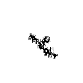 Cc1cc(-c2cnc3c(NCC4CC(F)(F)C4)nc(C4=CCOCC4)cn23)ccc1C(=O)NC1CC1